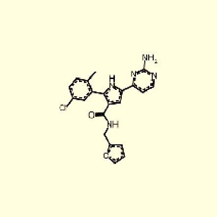 Cc1ccc(Cl)cc1-c1[nH]c(-c2ccnc(N)n2)cc1C(=O)NCc1ccco1